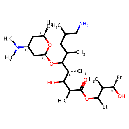 CCC(OC(=O)C(C)C(O)[C@@H](C)C(O[C@H]1C[C@@H](N(C)C)C[C@@H](C)O1)C(C)CC(C)CN)C(C)[C@H](O)CC